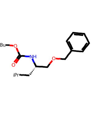 CC(C)C[C@@H](COCc1ccccc1)NC(=O)OC(C)(C)C